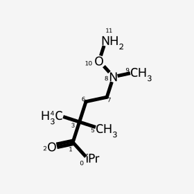 CC(C)C(=O)C(C)(C)CCN(C)ON